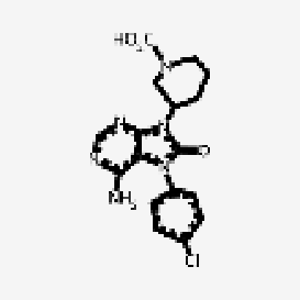 Nc1ncnc2c1n(-c1ccc(Cl)cc1)c(=O)n2C1CCCN(C(=O)O)C1